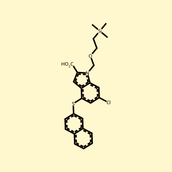 C[Si](C)(C)CCOCn1c(C(=O)O)cc2c(Sc3ccc4ccccc4c3)cc(Cl)cc21